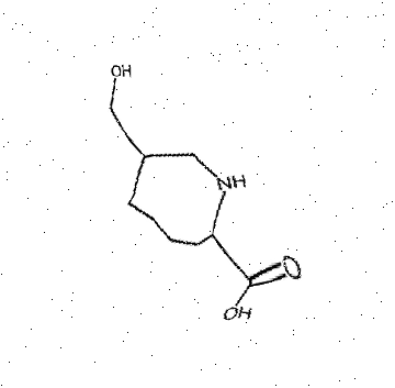 O=C(O)C1CCC(CO)CN1